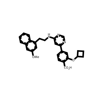 COc1cc(CCNc2cc(-c3ccc(C(=O)O)c(OC4CCC4)c3)ncn2)c2ccccc2c1